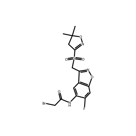 CC1(C)CC(S(=O)(=O)Cc2noc3cc(F)c(NC(=O)CBr)cc23)=NO1